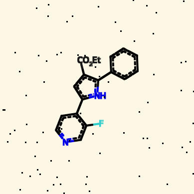 CCOC(=O)c1cc(-c2ccncc2F)[nH]c1-c1ccccc1